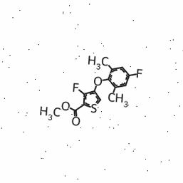 COC(=O)c1scc(Oc2c(C)cc(F)cc2C)c1F